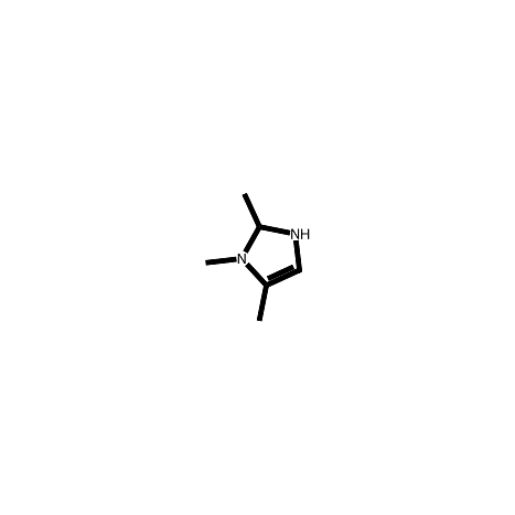 CC1=CNC(C)N1C